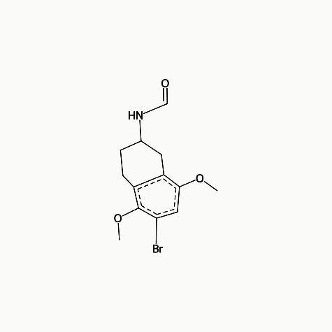 COc1cc(Br)c(OC)c2c1CC(NC=O)CC2